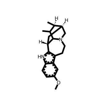 COc1ccc2[nH]c3c(c2c1)CCN1C[C@H]2C[C@@H]3C1C(C)[C@H]2C